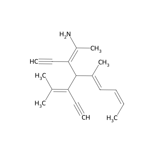 C#CC(=C(C)C)C(/C(C#C)=C(\C)N)/C(C)=C/C=C\C